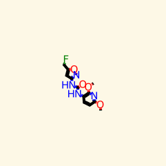 COc1ccc(NC(=O)Nc2cc(CF)on2)c(OC)n1